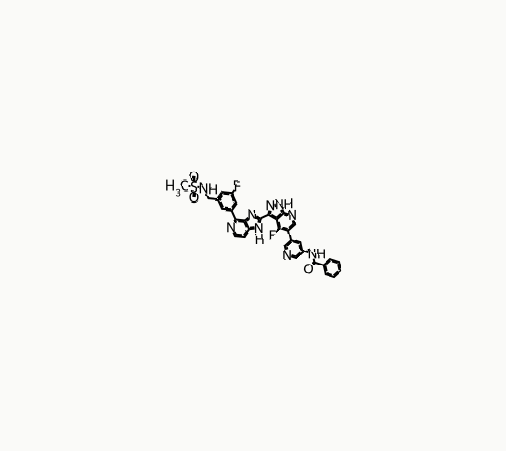 CS(=O)(=O)NCc1cc(F)cc(-c2nccc3[nH]c(-c4n[nH]c5ncc(-c6cncc(NC(=O)c7ccccc7)c6)c(F)c45)nc23)c1